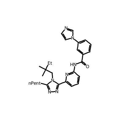 CCCCCc1nnc(-c2cccc(NC(=O)c3cccc(-n4ccnc4)c3)n2)n1CC(C)(C)CC